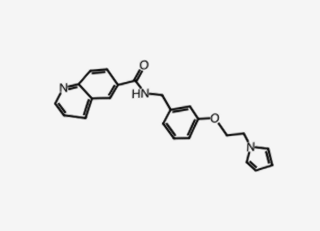 O=C(NCc1cccc(OCCn2cccc2)c1)c1ccc2ncccc2c1